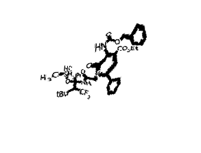 CCOC(=O)c1cc(-c2ccccc2)n(CC(=O)NC(O[SiH](C)C)(C(C)C)C(C(C)(C)C)C(F)(F)F)c(=O)c1NC(=O)OCc1ccccc1